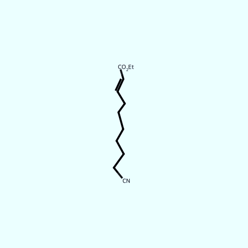 CCOC(=O)C=CCCCCCCC#N